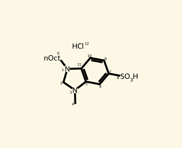 CCCCCCCCN1CN(C)c2cc(S(=O)(=O)O)ccc21.Cl